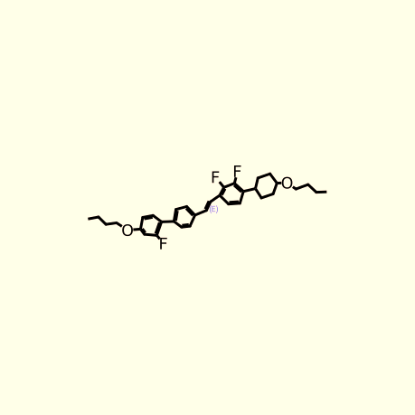 CCCCOc1ccc(-c2ccc(/C=C/c3ccc(C4CCC(OCCCC)CC4)c(F)c3F)cc2)c(F)c1